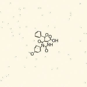 COc1ccc(-n2c(=O)[nH]c(C(=O)O)c(C(=O)c3ccccc3)c2=O)cc1